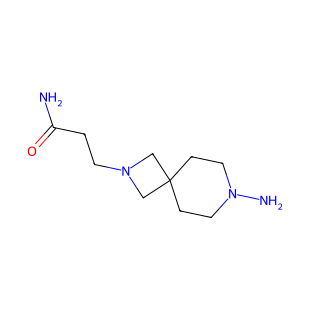 NC(=O)CCN1CC2(CCN(N)CC2)C1